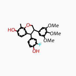 COc1cc(C2COc3c(ccc(O)c3C)C2c2ccc(O)c(F)c2)cc(OC)c1OC